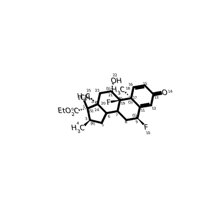 CCOC(=O)[C@@]1(C)[C@H](C)CC2C3C[C@H](F)C4=CC(=O)C=C[C@]4(C)[C@@]3(F)[C@@H](O)C[C@@]21C